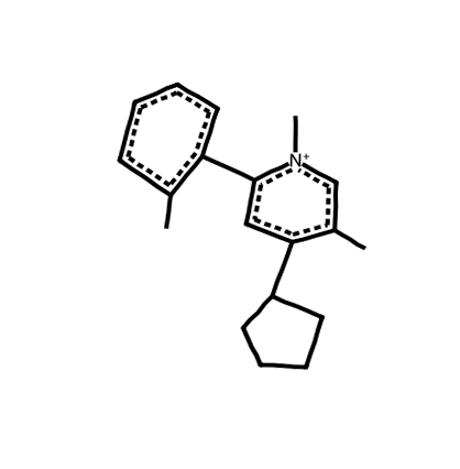 Cc1ccccc1-c1cc(C2CCCC2)c(C)c[n+]1C